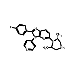 C[C@@H]1CNC[C@@H](C)N1c1ccc2nc(-c3ccc(F)cc3)n(-c3ccncc3)c2n1